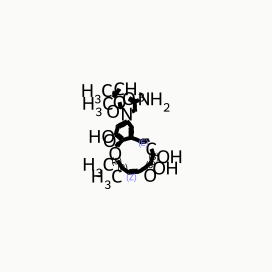 C[C@@H]1/C=C\C(=O)[C@@H](O)[C@@H](O)C/C=C/c2cc(N(CC(N)=O)C(=O)OC(C)(C)C)cc(O)c2C(=O)O[C@H]1C